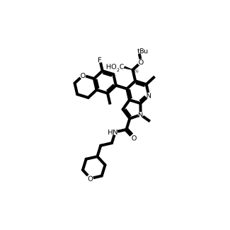 Cc1nc2c(cc(C(=O)NCCC3CCOCC3)n2C)c(-c2cc(F)c3c(c2C)CCCO3)c1[C@H](OC(C)(C)C)C(=O)O